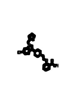 O=C(O)c1ccccc1OCCN1CCC(c2cn(Cc3cccs3)c3cc(Cl)ccc23)CC1